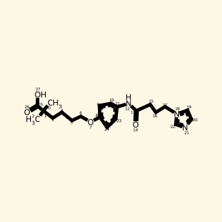 CC(C)(CCCCOc1ccc(NC(=O)CCCn2ccnc2)cc1)C(=O)O